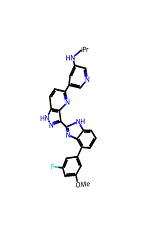 COc1cc(F)cc(-c2cccc3[nH]c(-c4n[nH]c5ccc(-c6cncc(NC(C)C)c6)nc45)nc23)c1